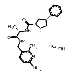 Cc1nc(N)ccc1CNC(=O)[C@H](C)NC(=O)[C@H]1C[C@H](c2ccccc2)CN1.Cl.Cl